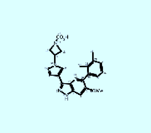 COc1cc2[nH]nc(-c3cnn(C4CN(C(=O)O)C4)c3)c2nc1-c1cccc(C)c1C